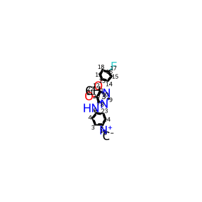 [C-]#[N+]c1ccc(Nc2ncnc(Oc3ccc(F)cc3)c2OC)cc1